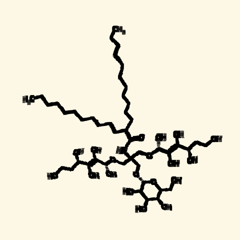 CCCCCCCCCCCC(CCCCCCCCCCC)C(=O)NC(CO[C@@H]1OC(CO)[C@@H](O)C(O)C1O)(CO[C@H](O)/C(O)=C(\O)[C@H](O)CCO)CO[C@H](O)/C(O)=C(\O)[C@H](O)CCO